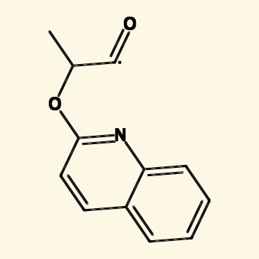 CC([C]=O)Oc1ccc2ccccc2n1